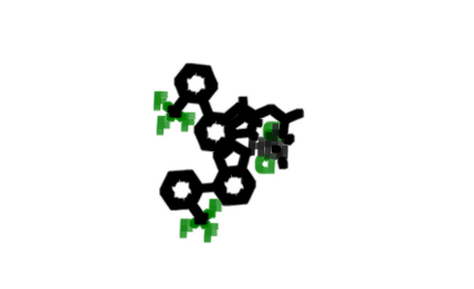 CC(C)CC1=Cc2c(-c3ccccc3C(F)(F)F)cccc2[CH]1[Hf]([Cl])([Cl])([CH]1C(CC(C)C)=Cc2c(-c3ccccc3C(F)(F)F)cccc21)[SiH](C)C